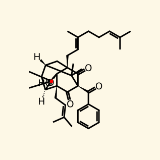 CC(C)=CCC/C(C)=C/C[C@]12C[C@H]3C[C@H]4C(C)(C)OC1(O)[C@]4(CC=C(C)C)C(=O)[C@@](C(=O)c1ccccc1)(C2=O)C3(C)C